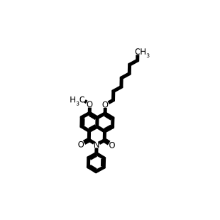 CCCCCCCCOc1ccc2c3c(ccc(OC)c13)C(=O)N(c1ccccc1)C2=O